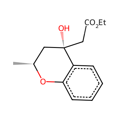 CCOC(=O)C[C@]1(O)C[C@@H](C)Oc2ccccc21